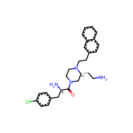 NCC[C@@H]1CN(C(=O)[C@H](N)Cc2ccc(Cl)cc2)CCN1CCc1ccc2ccccc2c1